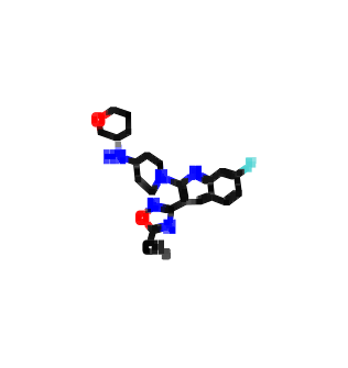 Cc1nc(-c2cc3ccc(F)cc3nc2N2CCC(N[C@H]3CCCOC3)CC2)no1